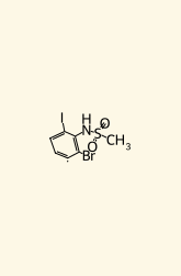 CS(=O)(=O)Nc1c(Br)[c]ccc1I